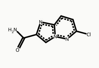 NC(=O)c1cn2nc(Cl)ccc2n1